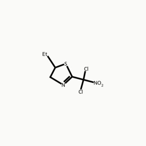 CCC1CN=C(C(Cl)(Cl)[N+](=O)[O-])S1